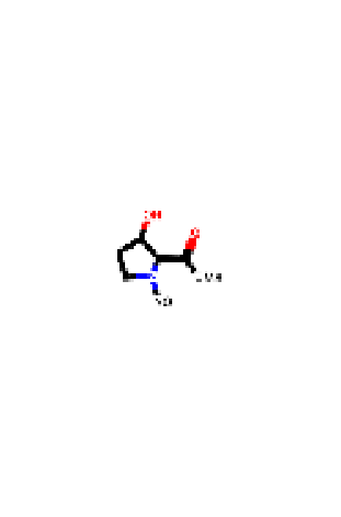 COC(=O)C1C(O)CCN1N=O